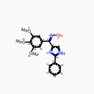 COc1cc(C(=NO)c2c[nH]c(-c3ccccc3)n2)cc(OC)c1OC